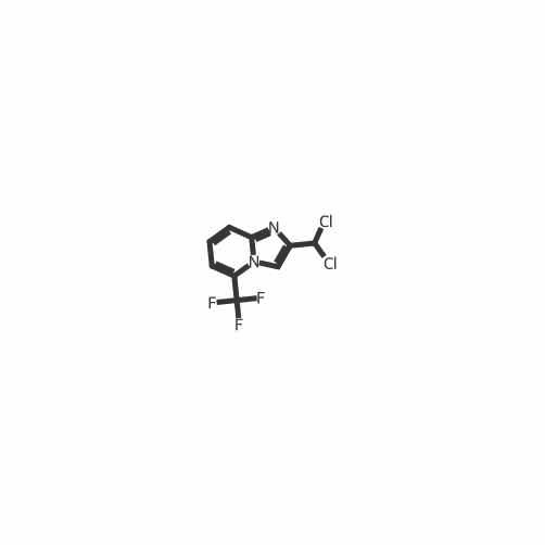 FC(F)(F)c1cccc2nc(C(Cl)Cl)cn12